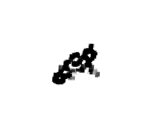 Cc1ccc(/C(N=N)=N/N)c(N2CCN(Cc3nc4ccccc4c(=O)[nH]3)CC2)c1